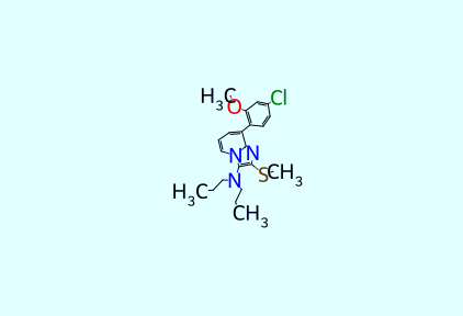 CCCN(CCC)c1c(SC)nc2c(-c3ccc(Cl)cc3OC)cccn12